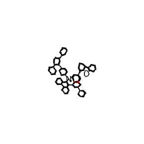 c1ccc(-c2cccc(-c3c(N(c4ccc(-c5cc(-c6ccccc6)ccc5-c5ccccc5)cc4)c4cccc(-c5cccc6c5oc5ccccc56)c4)c4ccccc4c4ccccc34)c2)cc1